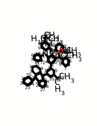 CCC(c1ccccc1)c1cc(C2=CC(c3c4c(c(-c5ccccc5)c5ccccc35)CCC=C4)=CC(C(C)C)C2)cc2c1B(c1cc(C(C)(C)C)ccc1C)c1cc(C(C)(C)C)ccc1N2c1ccccc1